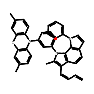 C=C/C=C\c1c(C)n(-c2cccc(N3c4ccc(C)cc4Oc4cc(C)ccc43)c2)c2c1ccc1ccn(-c3ccccc3)c12